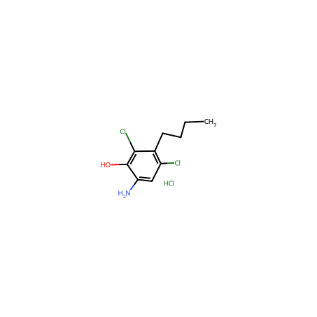 CCCCc1c(Cl)cc(N)c(O)c1Cl.Cl